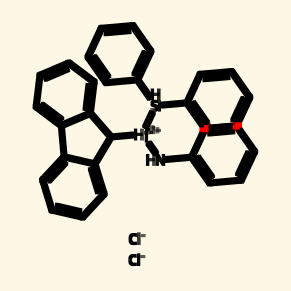 [Cl-].[Cl-].c1ccc([NH][Hf+2]([CH]2c3ccccc3-c3ccccc32)[SiH](c2ccccc2)c2ccccc2)cc1